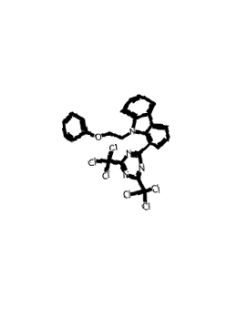 ClC(Cl)(Cl)c1nc(-c2cccc3c4ccccc4n(CCOc4ccccc4)c23)nc(C(Cl)(Cl)Cl)n1